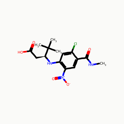 CNC(=O)c1cc([N+](=O)[O-])c(N[C@@H](CC(=O)O)C(C)(C)C)cc1Cl